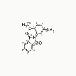 COc1ccc(N)cc1N1C(=O)c2ccccc2C1=O